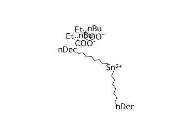 CCCCC(CC)C(=O)[O-].CCCCC(CC)C(=O)[O-].CCCCCCCCCCCCCCCCC[CH2][Sn+2][CH2]CCCCCCCCCCCCCCCCC